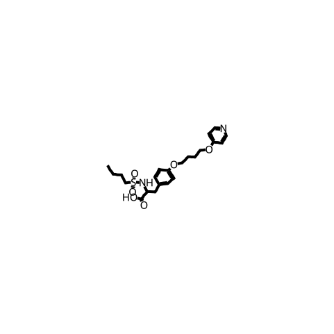 CCCCS(=O)(=O)NC(Cc1ccc(OCCCCOc2ccncc2)cc1)C(=O)O